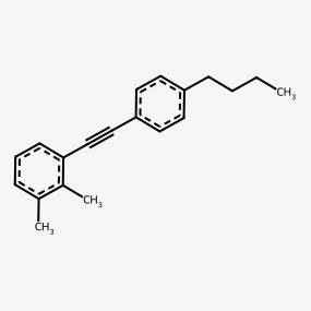 CCCCc1ccc(C#Cc2cccc(C)c2C)cc1